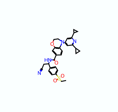 CCS(=O)(=O)c1ccc(C(CC#N)NC(=O)c2ccc3c(c2)OCCN3c2cc(C3CC3)nc(C3CC3)c2)cc1